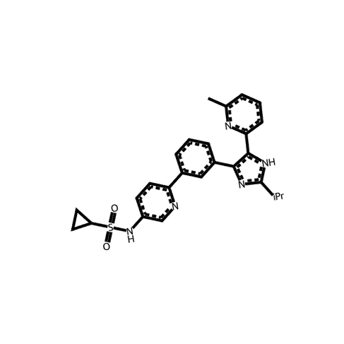 Cc1cccc(-c2[nH]c(C(C)C)nc2-c2cccc(-c3ccc(NS(=O)(=O)C4CC4)cn3)c2)n1